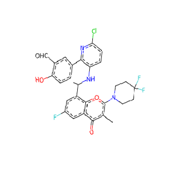 Cc1c(N2CCC(F)(F)CC2)oc2c(C(C)Nc3ccc(Cl)nc3-c3ccc(O)c(C=O)c3)cc(F)cc2c1=O